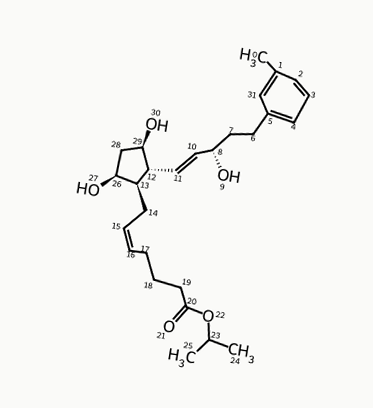 Cc1cccc(CC[C@H](O)/C=C/[C@@H]2[C@@H](C/C=C\CCCC(=O)OC(C)C)[C@@H](O)C[C@H]2O)c1